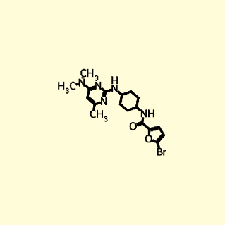 Cc1cc(N(C)C)nc(NC2CCC(NC(=O)c3ccc(Br)o3)CC2)n1